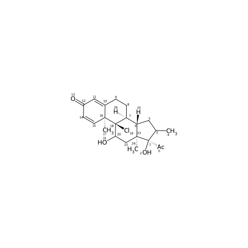 CC(=O)[C@@]1(O)C(C)C[C@H]2[C@@H]3CCC4=CC(=O)C=C[C@]4(C)[C@@]3(Cl)C(O)C[C@@]21C